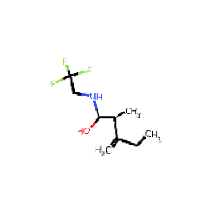 C=C(CC)[C@H](C)C(O)NCC(F)(F)F